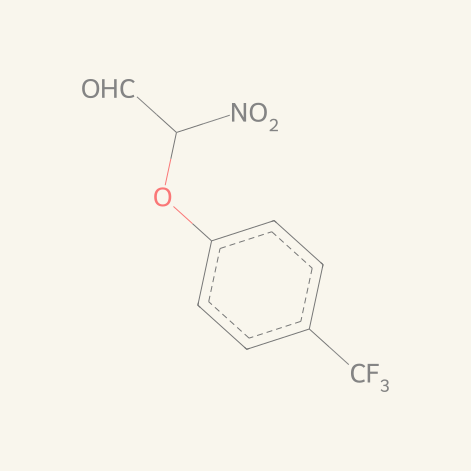 O=CC(Oc1ccc(C(F)(F)F)cc1)[N+](=O)[O-]